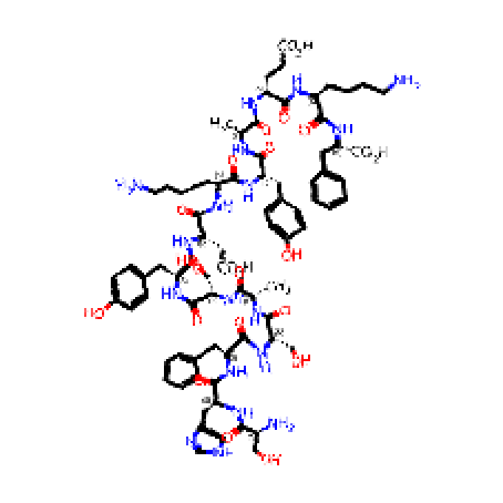 C[C@H](NC(=O)[C@H](Cc1ccc(O)cc1)NC(=O)[C@H](CCCCN)NC(=O)[C@H](CC(=O)O)NC(=O)[C@H](Cc1ccc(O)cc1)NC(=O)[C@H](CO)NC(=O)[C@H](C)NC(=O)[C@H](CO)NC(=O)[C@H](Cc1ccccc1)NC(=O)[C@H](Cc1c[nH]cn1)NC(=O)[C@@H](N)CO)C(=O)N[C@@H](CCC(=O)O)C(=O)N[C@@H](CCCCN)C(=O)N[C@@H](Cc1ccccc1)C(=O)O